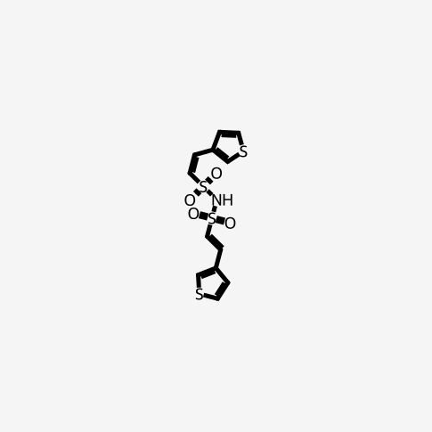 O=S(=O)(/C=C\c1ccsc1)NS(=O)(=O)/C=C/c1ccsc1